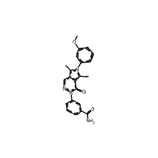 COc1cccc(-n2c(C)c3cnn(-c4cccc(C(N)=O)c4)c(=O)c3c2C)c1